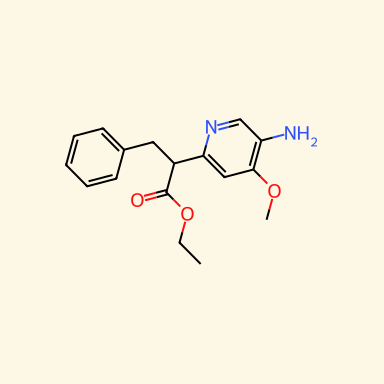 CCOC(=O)C(Cc1ccccc1)c1cc(OC)c(N)cn1